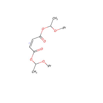 CC(C)OC(C)OC(=O)/C=C\C(=O)OC(C)OC(C)C